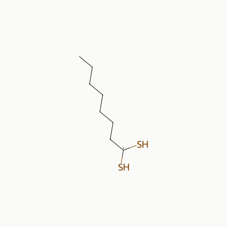 CCCCCCC[C](S)S